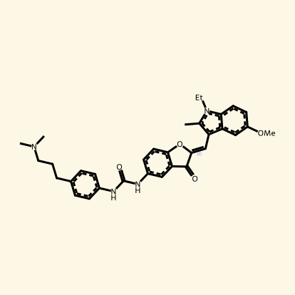 CCn1c(C)c(/C=C2\Oc3ccc(NC(=O)Nc4ccc(CCCN(C)C)cc4)cc3C2=O)c2cc(OC)ccc21